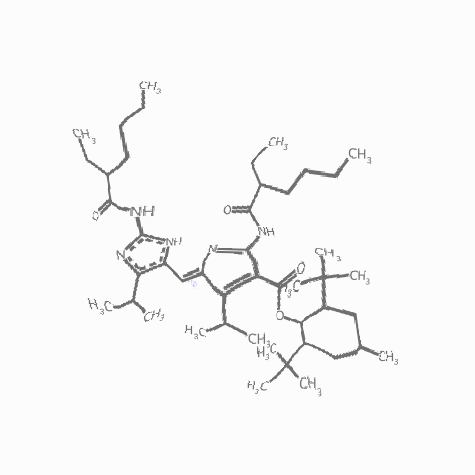 CCCCC(CC)C(=O)NC1=N/C(=C\c2[nH]c(NC(=O)C(CC)CCCC)nc2C(C)C)C(C(C)C)=C1C(=O)OC1C(C(C)(C)C)CC(C)CC1C(C)(C)C